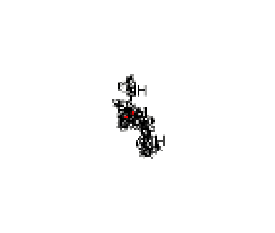 CCOC(=O)NCCCC[C@@H](NC(=O)[C@@]1(c2ccccc2)CC[C@H](C(=O)N2CCC(NC(=O)c3ccccc3OC)CC2)c2ccccc21)C(=O)OCC